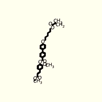 C=C(C)C(=O)OCCCCCCOc1ccc(-c2ccc(C(=O)Oc3ccc(/C=C/C(=O)OC)cc3OC)cc2)cc1